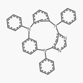 c1ccc(N2c3cccc(c3)N(c3ccccc3)c3cc(ncn3)N(c3ccccc3)c3cccc2c3)cc1